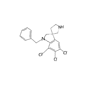 Clc1cc2c(c(Cl)c1Cl)N(Cc1ccccc1)CC21CCNC1